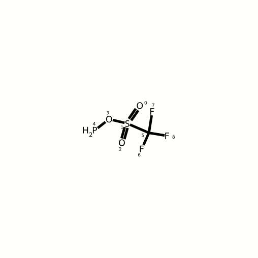 O=S(=O)(OP)C(F)(F)F